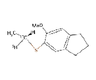 [1H][13C@@]([2H])(C)Sc1cc2c(cc1OC)CCC2